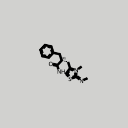 CN=c1scc(C[C@@H](Cc2ccccc2)C(N)=O)n1C